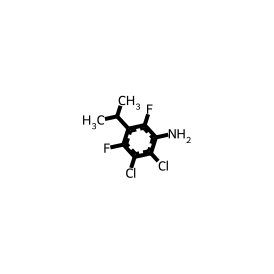 CC(C)c1c(F)c(N)c(Cl)c(Cl)c1F